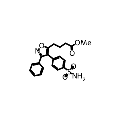 COC(=O)CCCc1onc(-c2ccccc2)c1-c1ccc(S(N)(=O)=O)cc1